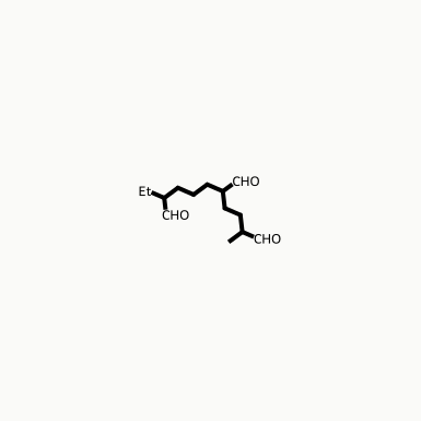 CCC(C=O)CCCC(C=O)CCC(C)C=O